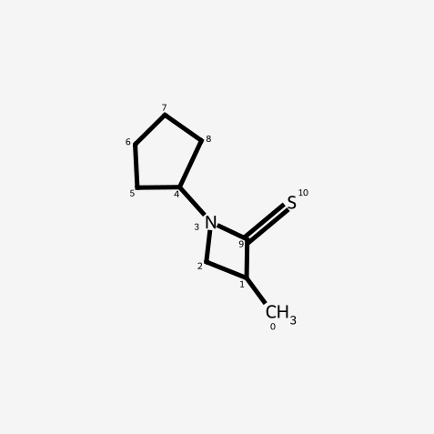 CC1CN(C2CCCC2)C1=S